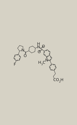 Cn1c(-c2ccc(CCC(=O)O)cc2)cc2ccc(S(=O)(=O)NC3CCC(C(=O)N4CCCC4c4ccc(F)cc4)CC3)cc21